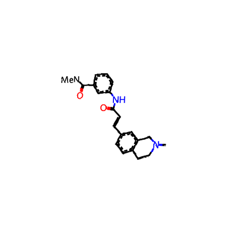 CNC(=O)c1cccc(NC(=O)C=Cc2ccc3c(c2)CN(C)CC3)c1